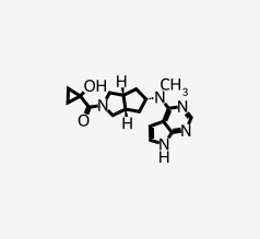 CN(c1ncnc2[nH]ccc12)[C@@H]1C[C@@H]2CN(C(=O)C3(O)CC3)C[C@@H]2C1